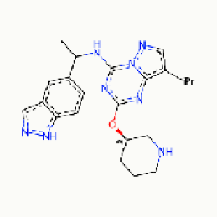 CC(C)c1cnn2c(NC(C)c3ccc4[nH]ncc4c3)nc(O[C@@H]3CCCNC3)nc12